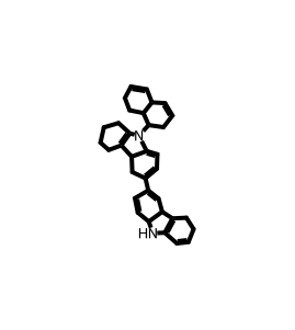 C1=CC2=C(CC1)C1C=C(C3=CC=C4C(C3)C3=C(CCCC3)N4C3CC=CC4C=CCCC43)C=CC1N2